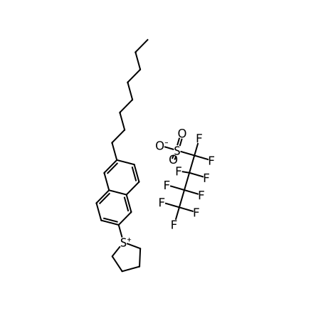 CCCCCCCCc1ccc2cc([S+]3CCCC3)ccc2c1.O=S(=O)([O-])C(F)(F)C(F)(F)C(F)(F)C(F)(F)F